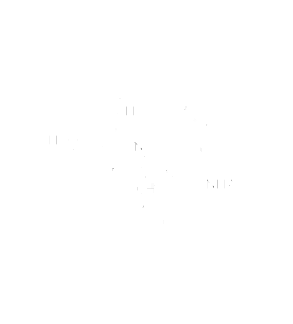 CC(=O)Nc1ccccc1-c1ccccc1-n1c(C)cc(C(=O)O)c1C